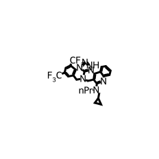 CCCN(CC1CC1)c1nc2ccccc2cc1CN(Cc1cc(C(F)(F)F)cc(C(F)(F)F)c1)c1nn[nH]n1